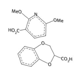 COc1ccc(C(=O)O)c(OC)n1.O=C(O)C1COc2ccccc2O1